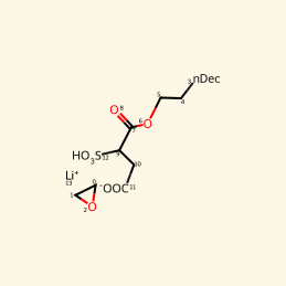 C1CO1.CCCCCCCCCCCCOC(=O)C(CC(=O)[O-])S(=O)(=O)O.[Li+]